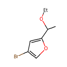 CCOC(C)c1cc(Br)co1